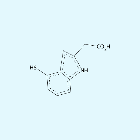 O=C(O)Cc1cc2c(S)cccc2[nH]1